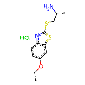 CCOc1ccc2nc(SC[C@@H](C)N)sc2c1.Cl